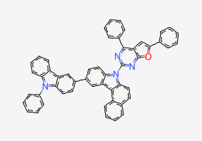 c1ccc(-c2cc3c(-c4ccccc4)nc(-n4c5ccc(-c6ccc7c(c6)c6ccccc6n7-c6ccccc6)cc5c5c6ccccc6ccc54)nc3o2)cc1